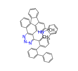 Cc1cc2c(c(-c3c(-c4ccccc4)nnnc3-c3c(-c4ccccc4-c4ccccc4)ccc4c3[nH]c3ccccc34)c1C)Cc1ccccc1-2